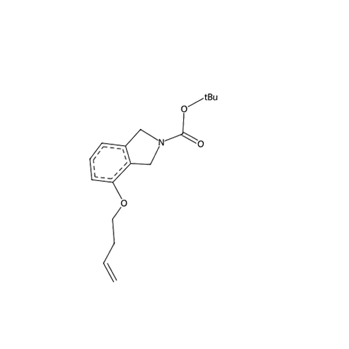 C=CCCOc1cccc2c1CN(C(=O)OC(C)(C)C)C2